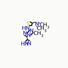 CCN(CC)Cc1csc(Nc2nc(C)cn3c(-c4cn[nH]c4)cnc23)c1